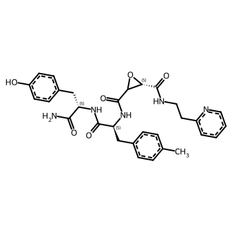 Cc1ccc(C[C@H](NC(=O)C2O[C@@H]2C(=O)NCCc2ccccn2)C(=O)N[C@@H](Cc2ccc(O)cc2)C(N)=O)cc1